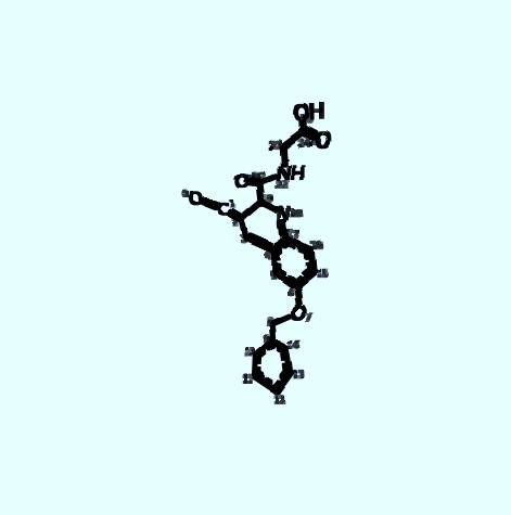 O=C=C1C=c2cc(OCc3ccccc3)ccc2=NC1C(=O)NCC(=O)O